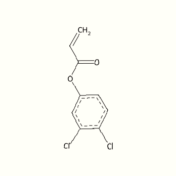 C=CC(=O)Oc1ccc(Cl)c(Cl)c1